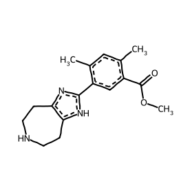 COC(=O)c1cc(-c2nc3c([nH]2)CCNCC3)c(C)cc1C